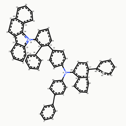 c1ccc(-c2ccc(N(c3ccc(-c4cccc(-n5c6ccccc6c6ccc7ccccc7c65)c4-c4ccccc4)cc3)c3ccc(-c4ccccc4)c4ccccc34)cc2)cc1